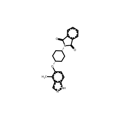 Cc1c(O[C@H]2CC[C@@H](N3C(=O)c4ccccc4C3=O)CC2)ccc2[nH]ncc12